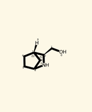 OC[C@H]1NC2CC[C@H]1C2